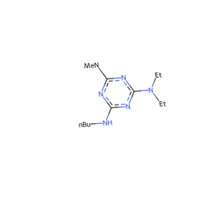 CCCCNc1nc(NC)nc(N(CC)CC)n1